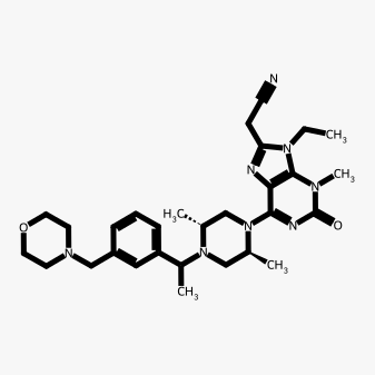 CCn1c(CC#N)nc2c(N3C[C@@H](C)N(C(C)c4cccc(CN5CCOCC5)c4)C[C@@H]3C)nc(=O)n(C)c21